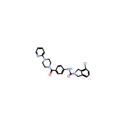 O=C(Nc1ccc(C(=O)N2CCN(c3ccccn3)CC2)cc1)N1Cc2cccc(Cl)c2C1